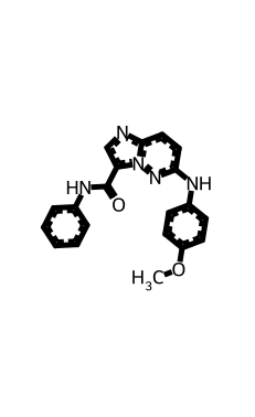 COc1ccc(Nc2ccc3ncc(C(=O)Nc4ccccc4)n3n2)cc1